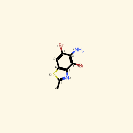 Cc1nc2c(Br)c(N)c(Br)cc2s1